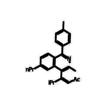 C/C=C(\C(=C/C(C)=O)C(C)C)c1cc(CCC)ccc1/C(=N\C)c1ccc(C)cc1